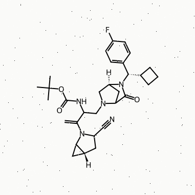 C=C(C(CN1C[C@@H]2CC1C(=O)N2[C@H](c1ccc(F)cc1)C1CCC1)NC(=O)OC(C)(C)C)N1C(C#N)C[C@@H]2CC21